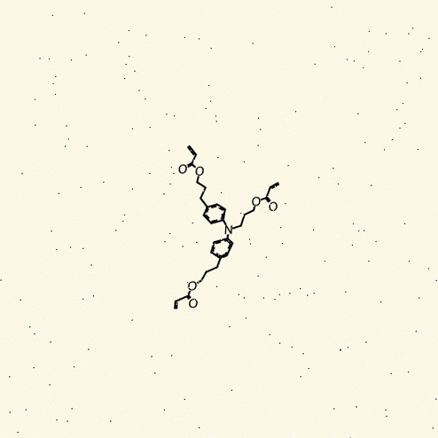 C=CC(=O)OCCCc1ccc(N(CCCOC(=O)C=C)c2ccc(CCCOC(=O)C=C)cc2)cc1